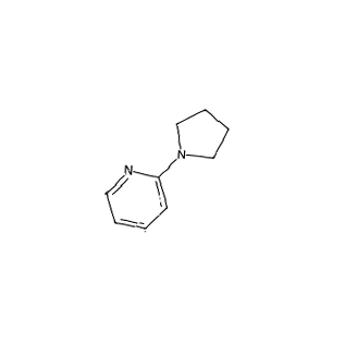 [c]1ccnc(N2CCCC2)c1